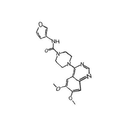 COc1cc2ncnc(N3CCN(C(=O)Nc4ccoc4)CC3)c2cc1OC